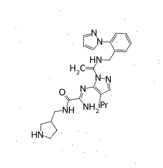 C=C(NCc1ccccc1-n1cccn1)n1ncc(C(C)C)c1/N=C(\N)C(=O)NCC1CCNC1